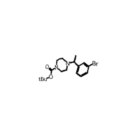 CC(c1cccc(Br)c1)N1CCN(C(=O)OC(C)(C)C)CC1